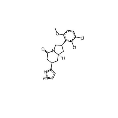 COc1ccc(Cl)c(Cl)c1[C@H]1C[C@H]2C[C@@H](c3cc[nH]n3)CC(=O)N2C1